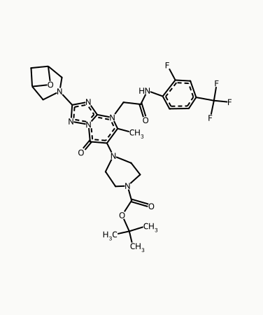 Cc1c(N2CCN(C(=O)OC(C)(C)C)CC2)c(=O)n2nc(N3CC4CC(C3)O4)nc2n1CC(=O)Nc1ccc(C(F)(F)F)cc1F